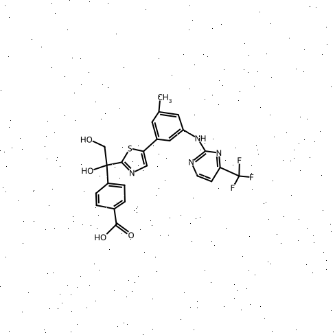 Cc1cc(Nc2nccc(C(F)(F)F)n2)cc(-c2cnc(C(O)(CO)c3ccc(C(=O)O)cc3)s2)c1